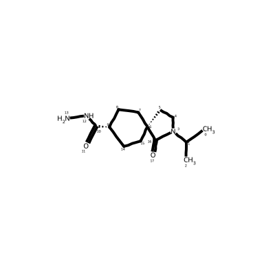 CC(C)N1CC[C@]2(CC[C@@H](C(=O)NN)CC2)C1=O